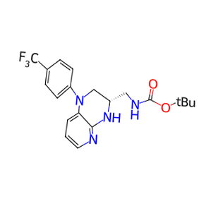 CC(C)(C)OC(=O)NC[C@H]1CN(c2ccc(C(F)(F)F)cc2)c2cccnc2N1